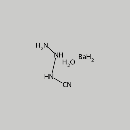 N#CNNN.O.[BaH2]